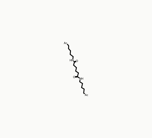 CC(=O)CCCCCNC(=O)CCCCC(=O)NCCCCCC(C)=O